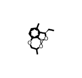 CC[C@H]1OB2OC(C)COc3ccc(C)c1c32